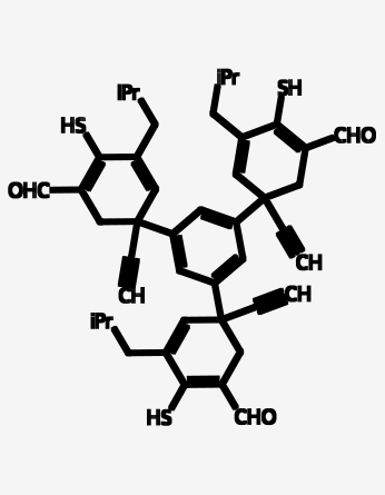 C#CC1(c2cc(C3(C#C)C=C(CC(C)C)C(S)=C(C=O)C3)cc(C3(C#C)C=C(CC(C)C)C(S)=C(C=O)C3)c2)C=C(CC(C)C)C(S)=C(C=O)C1